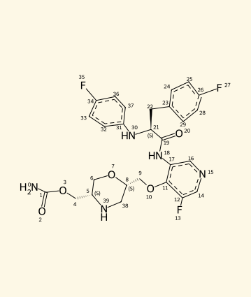 NC(=O)OC[C@@H]1CO[C@H](COc2c(F)cncc2NC(=O)[C@H](Cc2ccc(F)cc2)Nc2ccc(F)cc2)CN1